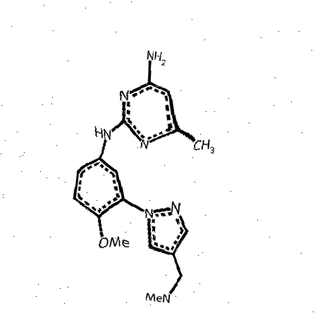 CNCc1cnn(-c2cc(Nc3nc(C)cc(N)n3)ccc2OC)c1